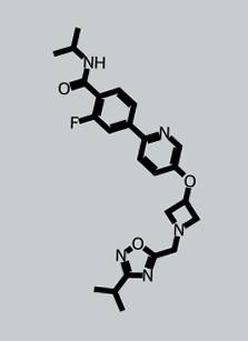 CC(C)NC(=O)c1ccc(-c2ccc(OC3CN(Cc4nc(C(C)C)no4)C3)cn2)cc1F